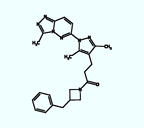 Cc1nn(-c2ccc3nnc(C)n3n2)c(C)c1CCC(=O)N1CC(Cc2ccccc2)C1